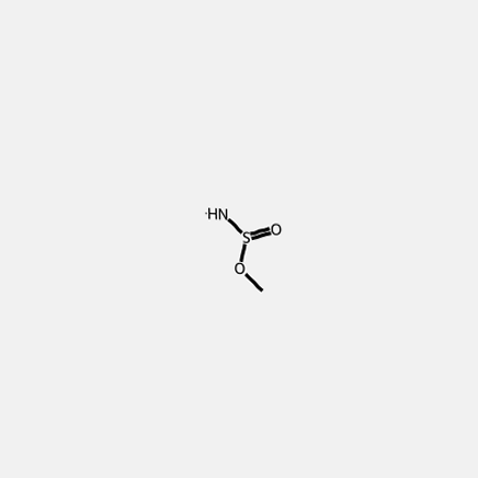 COS([NH])=O